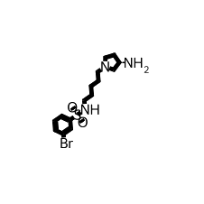 N[C@H]1CCN(CCCCCNS(=O)(=O)c2cccc(Br)c2)C1